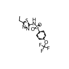 CCc1nnc(NS(=O)(=O)c2ccc(OC(F)(F)F)cc2)s1